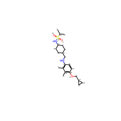 Cc1c(NCC2CCC(NS(=O)(=O)C(C)C)CC2)ccc(OCC2CC2)c1C